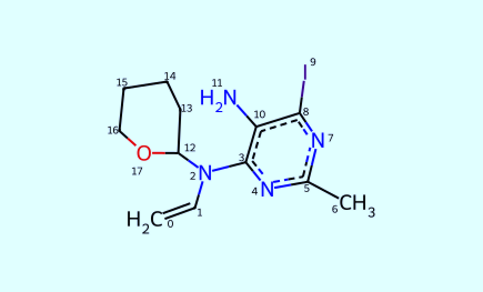 C=CN(c1nc(C)nc(I)c1N)C1CCCCO1